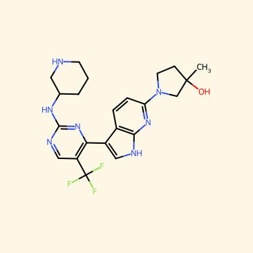 CC1(O)CCN(c2ccc3c(-c4nc(NC5CCCNC5)ncc4C(F)(F)F)c[nH]c3n2)C1